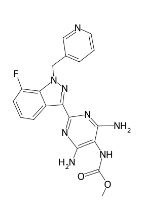 COC(=O)Nc1c(N)nc(-c2nn(Cc3cccnc3)c3c(F)cccc23)nc1N